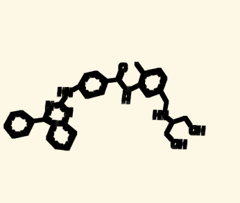 Cc1ccc(CNC(CO)CO)cc1NC(=O)c1ccc(Nc2nc(-c3ccccc3)c3ccccc3n2)cc1